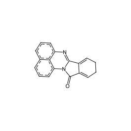 O=C1C2=CCCC=C2C2=Nc3cccc4cccc(c34)N12